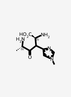 C[C@H](N)C(=O)C(c1cn(C)cn1)[C@H](N)C(=O)O